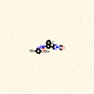 COc1ccc(C(C)(C)C)cc1NC(=O)Nc1ccc(-c2cnc(N3CCOCC3)nc2C)c2ccccc12